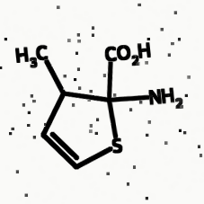 CC1C=CSC1(N)C(=O)O